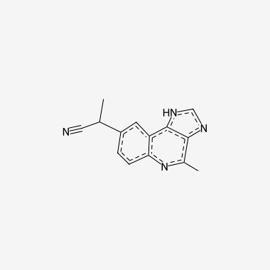 Cc1nc2ccc(C(C)C#N)cc2c2[nH]cnc12